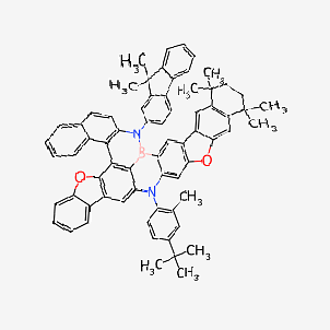 Cc1cc(C(C)(C)C)ccc1N1c2cc3oc4cc5c(cc4c3cc2B2c3c1cc1c(oc4ccccc41)c3-c1c(ccc3ccccc13)N2c1ccc2c(c1)C(C)(C)c1ccccc1-2)C(C)(C)CCC5(C)C